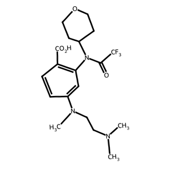 CN(C)CCN(C)c1ccc(C(=O)O)c(N(C(=O)C(F)(F)F)C2CCOCC2)c1